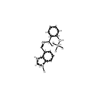 CC(/N=C\c1cccc2c1ncn2C)c1ccccc1O[Si](C)(C)C